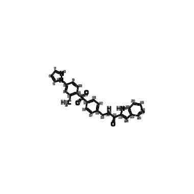 Cc1cc(-n2cccn2)ccc1S(=O)(=O)c1ccc(CNC(=O)c2cc3cnccc3[nH]2)cc1